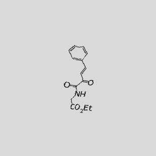 CCOC(=O)CNC(=O)C(=O)/C=C/c1ccccc1